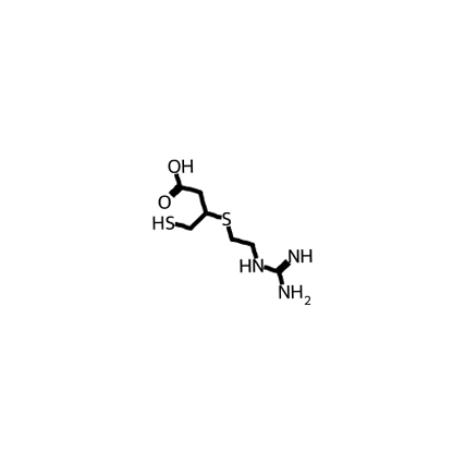 N=C(N)NCCSC(CS)CC(=O)O